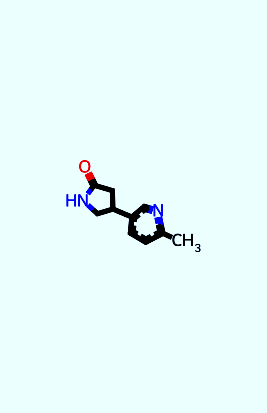 Cc1ccc(C2CNC(=O)C2)cn1